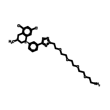 CN1Cc2c(Cl)cc(Cl)cc2[C@H](c2cccc(-c3nnn(CCOCCOCCOCCOCCN)n3)c2)C1